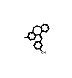 Oc1cccc(C=C2c3ccccc3CCc3cc(F)ccc32)c1